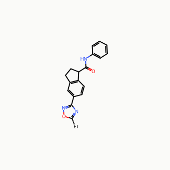 CCc1nc(-c2ccc3c(c2)CCC3C(=O)Nc2ccccc2)no1